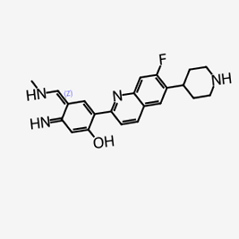 CN/C=C1/C=C(c2ccc3cc(C4CCNCC4)c(F)cc3n2)C(O)=CC1=N